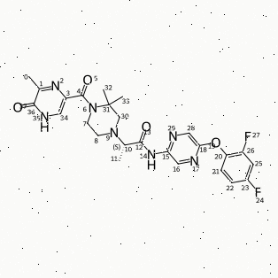 Cc1nc(C(=O)N2CCN([C@@H](C)C(=O)Nc3cnc(Oc4ccc(F)cc4F)cn3)CC2(C)C)c[nH]c1=O